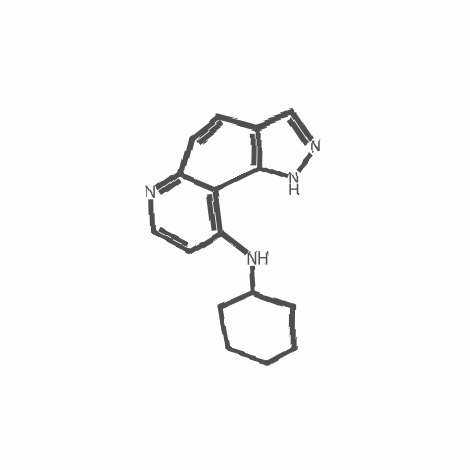 c1cc(NC2CCCCC2)c2c(ccc3cn[nH]c32)n1